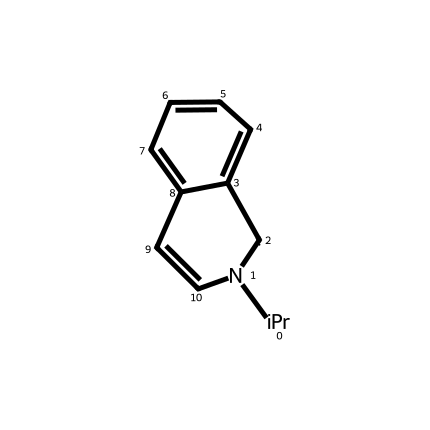 CC(C)N1[CH]c2ccccc2C=C1